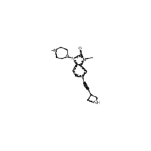 Cn1c(=O)n(N2CCNCC2)c2ccc(C#CC3CNC3)cc21